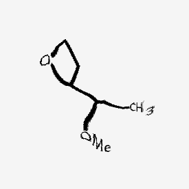 COC(C)C1CO1